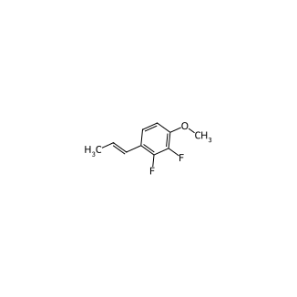 CC=Cc1ccc(OC)c(F)c1F